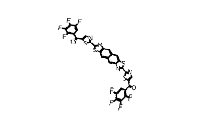 O=C(c1cnc(-c2nc3cc4cc5sc(-c6ncc(C(=O)c7cc(F)c(F)c(F)c7F)s6)nc5cc4cc3s2)s1)c1cc(F)c(F)c(F)c1F